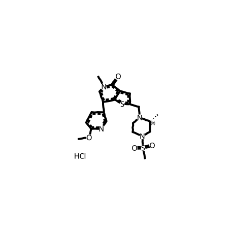 COc1ccc(-c2cn(C)c(=O)c3cc(CN4CCN(S(C)(=O)=O)C[C@H]4C)sc23)cn1.Cl